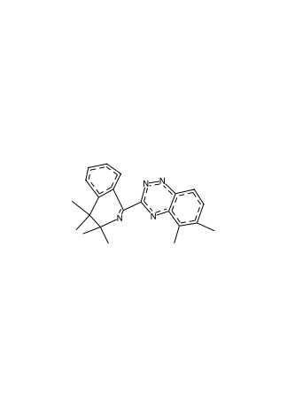 Cc1ccc2nnc(C3=NC(C)(C)C(C)(C)c4ccccc43)nc2c1C